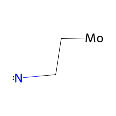 [N]C[CH2][Mo]